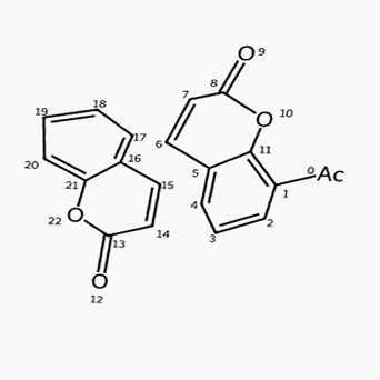 CC(=O)c1cccc2ccc(=O)oc12.O=c1ccc2ccccc2o1